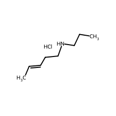 CC=CCCNCCC.Cl